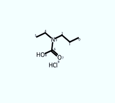 CCCN(CC)C(=O)O.Cl